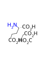 N[C@@H](CCC(=O)O)C(=O)O.O=C(O)CC(=O)O